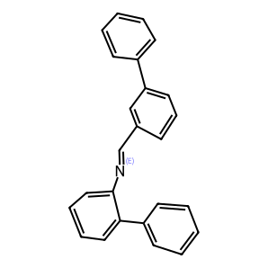 C(=N\c1ccccc1-c1ccccc1)/c1cccc(-c2ccccc2)c1